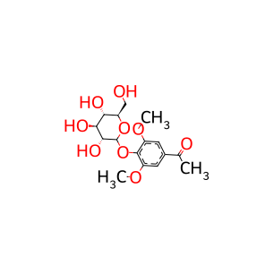 COc1cc(C(C)=O)cc(OC)c1OC1O[C@H](CO)[C@@H](O)[C@H](O)[C@H]1O